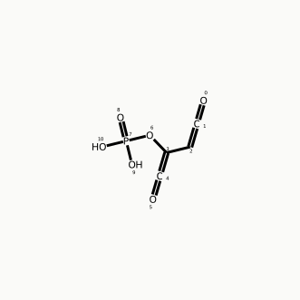 O=C=CC(=C=O)OP(=O)(O)O